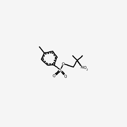 Cc1ccc(S(=O)(=O)OCC(C)(C)[N+](=O)[O-])cc1